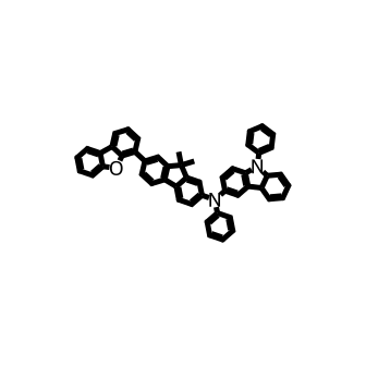 CC1(C)c2cc(-c3cccc4c3oc3ccccc34)ccc2-c2ccc(N(c3ccccc3)c3ccc4c(c3)C3C=CC=CC3N4c3ccccc3)cc21